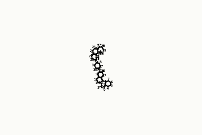 C[Si]1(C)c2ccccc2-c2c1ccc1cc(-c3ccc(-c4ccc5ccc6cccnc6c5n4)cc3)ccc21